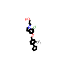 OCCCn1ccc2cc(OCc3ccc(C4CCCC4)c(C(F)(F)F)c3)cc(Cl)c21